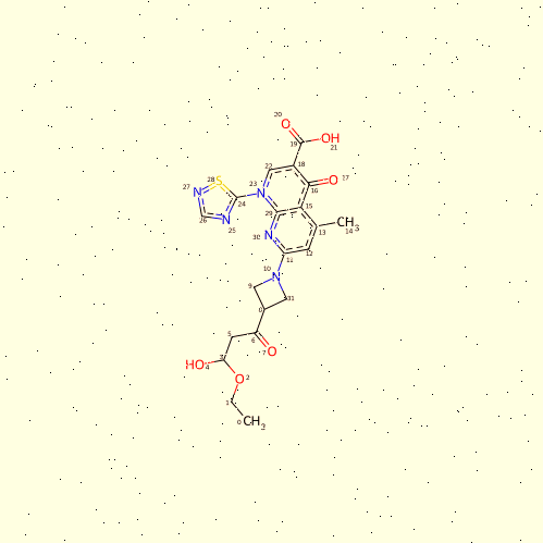 CCOC(O)CC(=O)C1CN(c2cc(C)c3c(=O)c(C(=O)O)cn(-c4ncns4)c3n2)C1